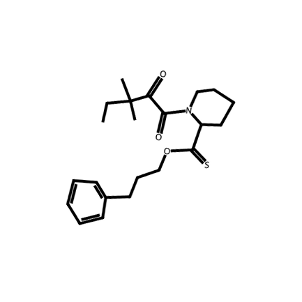 CCC(C)(C)C(=O)C(=O)N1CCCCC1C(=S)OCCCc1ccccc1